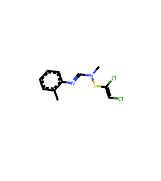 Cc1ccccc1N=CN(C)SC(Cl)=CCl